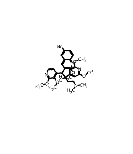 COc1cc(C(O)(CCN(C)C)C(c2cc3cc(Br)ccc3nc2OC)c2ccnc(OC)c2OC)cc(OC)n1